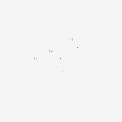 CC(=O)O[C@H](CO)C(O)C(O[C@H]1OC(CO)[C@@H](O)C(O)C1N)[C@@H](O)C(C)O